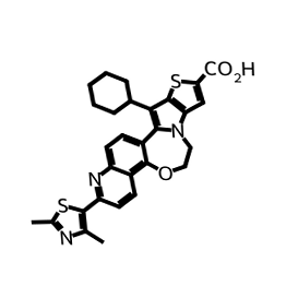 Cc1nc(C)c(-c2ccc3c4c(ccc3n2)-c2c(C3CCCCC3)c3sc(C(=O)O)cc3n2CCO4)s1